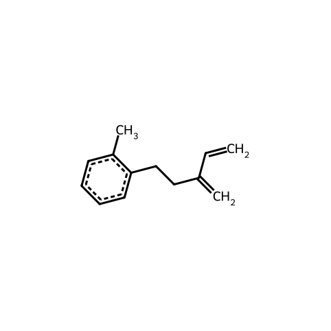 C=CC(=C)CCc1ccccc1C